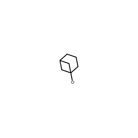 [O]C12CCCC(C1)C2